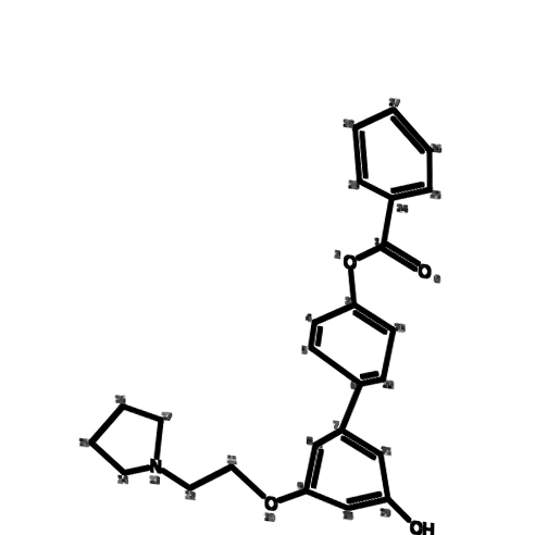 O=C(Oc1ccc(-c2[c]c(OCCN3CCCC3)cc(O)c2)cc1)c1ccccc1